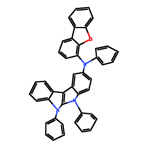 c1ccc(N(c2ccc3c(c2)c2c4ccccc4n(-c4ccccc4)c2n3-c2ccccc2)c2cccc3c2oc2ccccc23)cc1